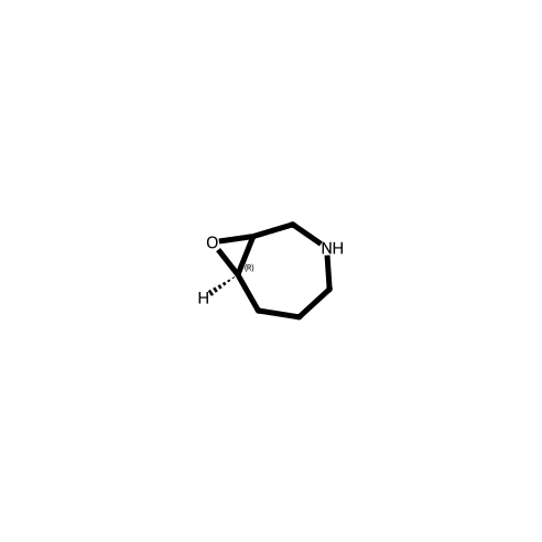 C1CNCC2O[C@@H]2C1